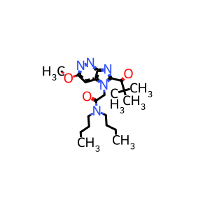 CCCCN(CCCC)C(=O)Cn1c(C(=O)C(C)(C)C)nc2nnc(OC)cc21